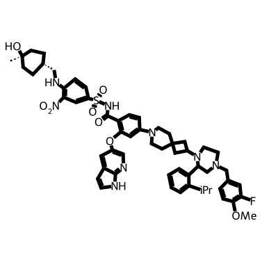 COc1ccc(CN2CCN(C3CC4(CCN(c5ccc(C(=O)NS(=O)(=O)c6ccc(NC[C@H]7CC[C@](C)(O)CC7)c([N+](=O)[O-])c6)c(Oc6cnc7[nH]ccc7c6)c5)CC4)C3)C(c3ccccc3C(C)C)C2)cc1F